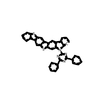 c1ccc(-c2nc(-c3ccccc3)nc(-n3c4ccccc4c4cc5c(cc43)sc3cc4c(cc35)sc3ccccc34)n2)cc1